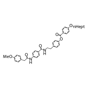 CCCCCCCOc1ccc(C(=O)Oc2ccc(CCNC(=O)c3ccc(NC(=O)Cc4ccc(OC)cc4)cc3)cc2)cc1